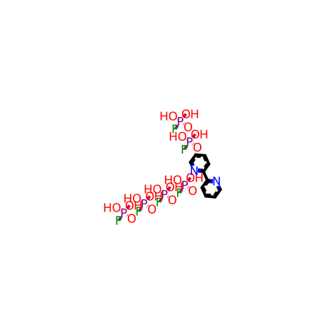 O=P(O)(O)F.O=P(O)(O)F.O=P(O)(O)F.O=P(O)(O)F.O=P(O)(O)F.O=P(O)(O)F.c1ccc(-c2ccccn2)nc1